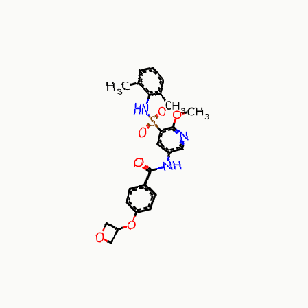 COc1ncc(NC(=O)c2ccc(OC3COC3)cc2)cc1S(=O)(=O)Nc1c(C)cccc1C